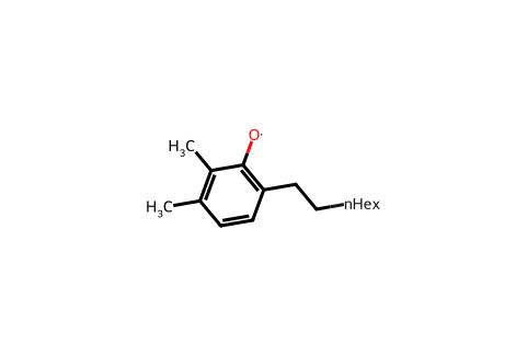 [CH2]CCCCCCCc1ccc(C)c(C)c1[O]